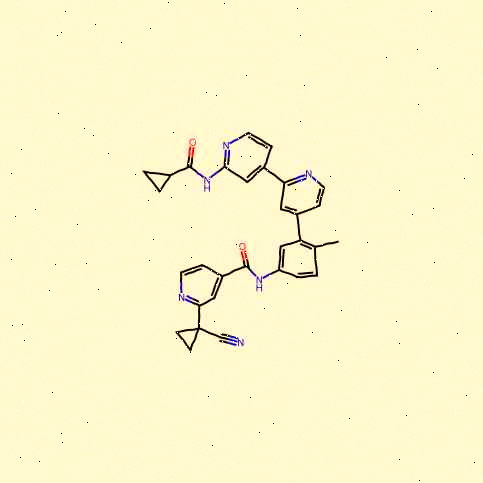 Cc1ccc(NC(=O)c2ccnc(C3(C#N)CC3)c2)cc1-c1ccnc(-c2ccnc(NC(=O)C3CC3)c2)c1